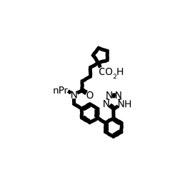 CCCN(Cc1ccc(-c2ccccc2-c2nnn[nH]2)cc1)C(=O)CCCC1(C(=O)O)CCCC1